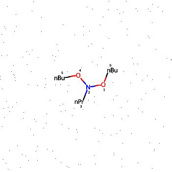 CCCCON(CCC)OCCCC